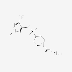 Cn1cc(SC(C)(C)C2CCN(C(=O)OC(C)(C)C)CC2)c(C(F)(F)F)n1